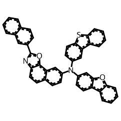 c1ccc2cc(-c3nc4ccc5ccc(N(c6ccc7c(c6)oc6ccccc67)c6ccc7sc8ccccc8c7c6)cc5c4o3)ccc2c1